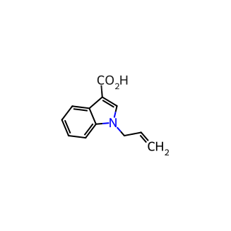 C=CCn1cc(C(=O)O)c2ccccc21